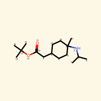 CC(C)NC1(C)CCC(CC(=O)OC(C)(C)C)CC1